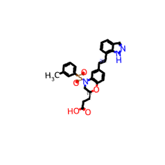 Cc1cccc(S(=O)(=O)N2C[C@H](CCC(=O)O)Oc3ccc(/C=C/c4cccc5cn[nH]c45)cc32)c1